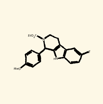 CCOC(=O)N1CCc2c([nH]c3ccc(F)cc23)C1c1ccc(OC)cc1